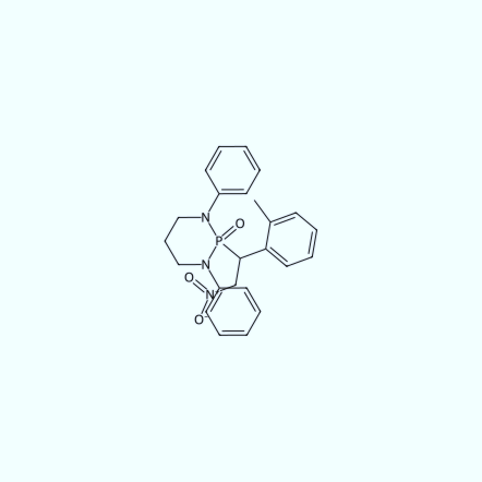 Cc1ccccc1C(C[N+](=O)[O-])P1(=O)N(c2ccccc2)CCCN1c1ccccc1